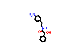 Nc1ccc(CCNC(=O)[C@H](O)c2ccccc2)cc1